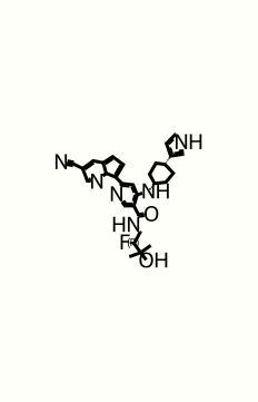 CC(C)(O)[C@H](F)CNC(=O)c1cnc(C2=CC=C3C=C(C#N)C=NC32)cc1N[C@H]1CC[C@@H](c2cc[nH]c2)CC1